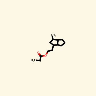 CCC(=O)OCCC1CC(C)C2CCCC12